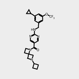 O=C(c1cnc(NCc2cc(OC(F)(F)F)cc(C3CC3)c2)nc1)N1CCC12CN(C1CCC1)C2